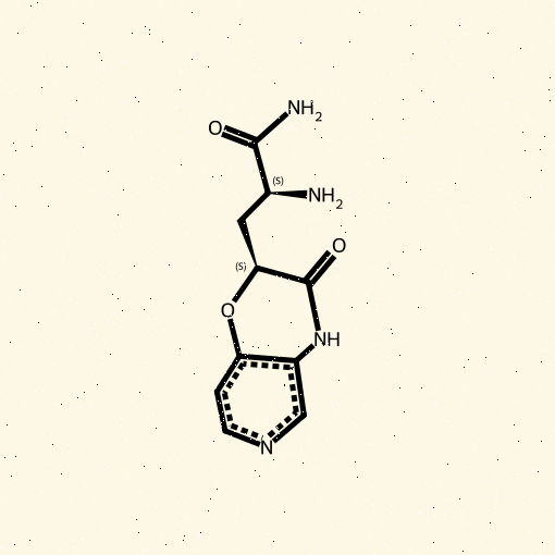 NC(=O)[C@@H](N)C[C@@H]1Oc2ccncc2NC1=O